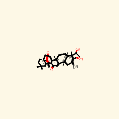 CC(O)[C@]1(C)C(O)=C(C#N)C[C@]2(C)C3=CC(=O)[C@]45OC(=O)[C@@]6(CCC(C)(C)C[C@H]64)CC[C@@]5(C)[C@]3(C)CC[C@@H]12